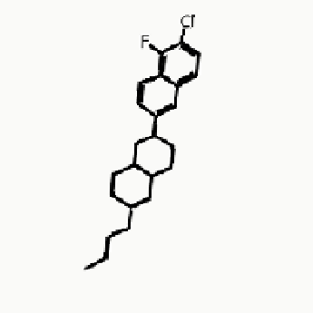 CCCCC1CCC2CC(c3ccc4c(F)c(Cl)ccc4c3)CCC2C1